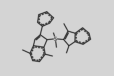 CC1=C(S(C)(C)C2C(c3ccccc3)=Cc3c(C)ccc(C)c32)C(C)c2ccccc21